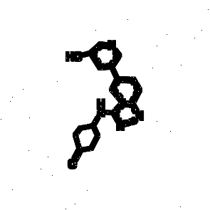 O=C1CCC(Nc2ncnc3ccc(-c4cncc(O)c4)cc23)CC1